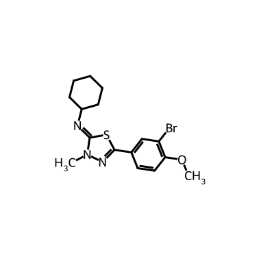 COc1ccc(-c2nn(C)c(=NC3CCCCC3)s2)cc1Br